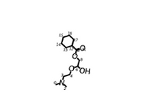 CN(C)CCOC(O)COC(=O)C1CCCCC1